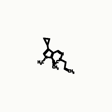 C=CCN(C)/N=C\c1c(C2CC2)cn(C)c1C=C